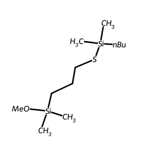 CCCC[Si](C)(C)SCCC[Si](C)(C)OC